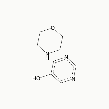 C1COCCN1.Oc1cncnc1